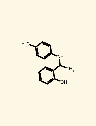 Cc1ccc(NC(C)c2ccccc2O)cc1